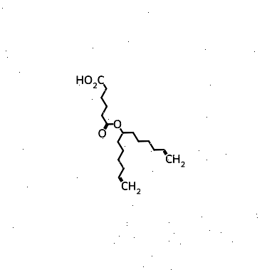 C=CCCCCC(CCCCC=C)OC(=O)CCCCC(=O)O